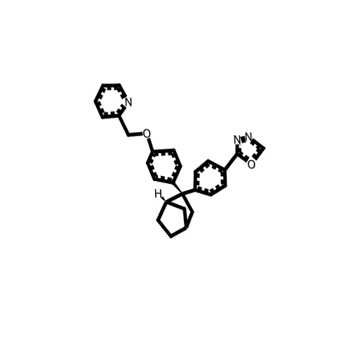 c1ccc(COc2ccc([C@@]3(c4ccc(-c5nnco5)cc4)CC4CC[C@@H]3C4)cc2)nc1